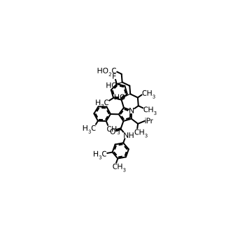 Cc1ccc(NC(=O)c2c(-c3cccc(C)c3C)c(-c3ccc(F)cc3C)n(C(C)C(C)[C@@H](O)C[C@@H](O)CC(=O)O)c2C(C)C(C)C)cc1C